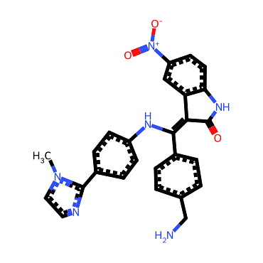 Cn1ccnc1-c1ccc(NC(=C2C(=O)Nc3ccc([N+](=O)[O-])cc32)c2ccc(CN)cc2)cc1